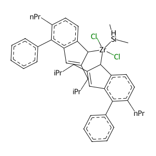 CCCc1ccc2c(c1-c1ccccc1)C=C(CC(C)C)[CH]2[Zr]([Cl])([Cl])([CH]1C(CC(C)C)=Cc2c1ccc(CCC)c2-c1ccccc1)[SiH](C)C